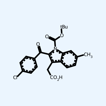 Cc1ccc2c(CC(=O)O)c(C(=O)c3ccc(Cl)cc3)n(C(=O)OC(C)(C)C)c2c1